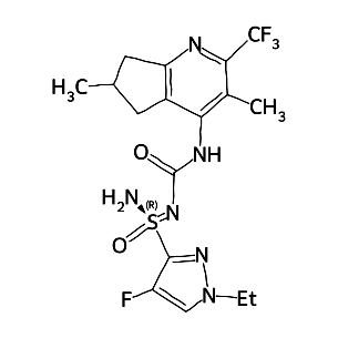 CCn1cc(F)c([S@](N)(=O)=NC(=O)Nc2c(C)c(C(F)(F)F)nc3c2CC(C)C3)n1